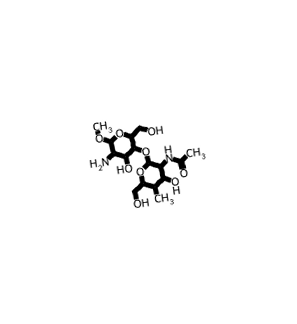 COC1OC(CO)C(OC2OC(CO)C(C)C(O)C2NC(C)=O)C(O)C1N